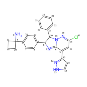 NC1(c2ccc(C3N=C4C(c5cc[nH]n5)=CC(Cl)=NN4C3c3ccccc3)cc2)CCC1